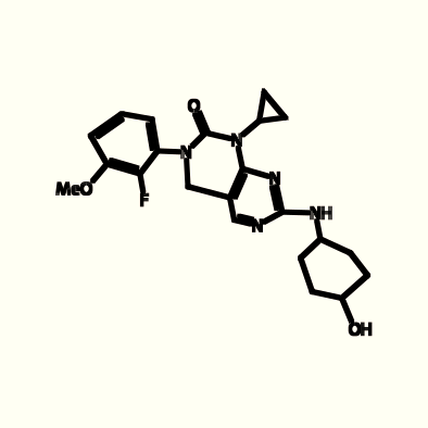 COc1cccc(N2Cc3cnc(NC4CCC(O)CC4)nc3N(C3CC3)C2=O)c1F